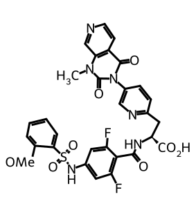 COc1ccccc1S(=O)(=O)Nc1cc(F)c(C(=O)N[C@@H](Cc2ccc(-n3c(=O)c4ccncc4n(C)c3=O)cn2)C(=O)O)c(F)c1